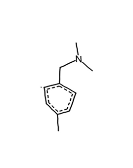 Cc1c[c]c(CN(C)C)cc1